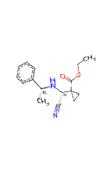 CCOC(=O)C1([C@H](C#N)N[C@H](C)c2ccccc2)CC1